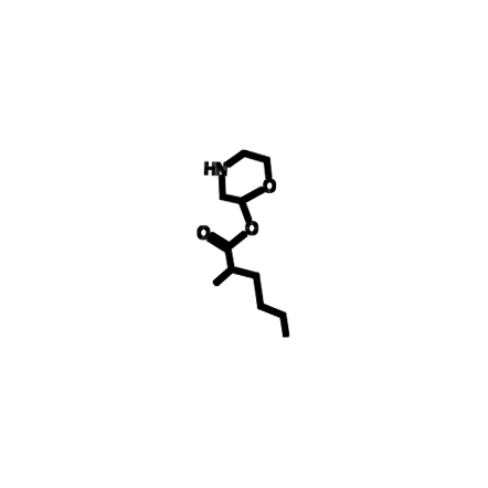 CCCCC(C)C(=O)OC1CNCCO1